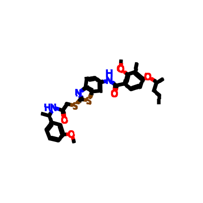 CCCC(C)Oc1ccc(C(=O)Nc2ccc3nc(SCC(=O)NC(C)c4cccc(OC)c4)sc3c2)c(OC)c1C